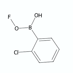 OB(OF)c1ccccc1Cl